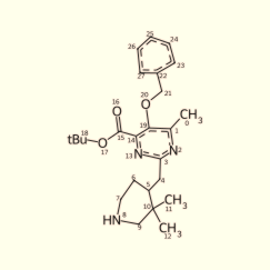 Cc1nc(CC2CCNCC2(C)C)nc(C(=O)OC(C)(C)C)c1OCc1ccccc1